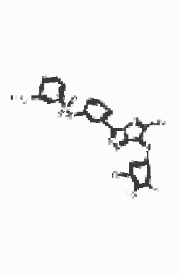 CC(C)(C)C1=Nn2c(nnc2-c2cccc(NS(=O)(=O)c3cccc(C(=O)O)c3)c2)C1=Nc1cc(Cl)c(O)c(Cl)c1